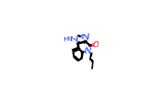 CCCCn1c(=O)c2nc[nH]c2c2ccccc21